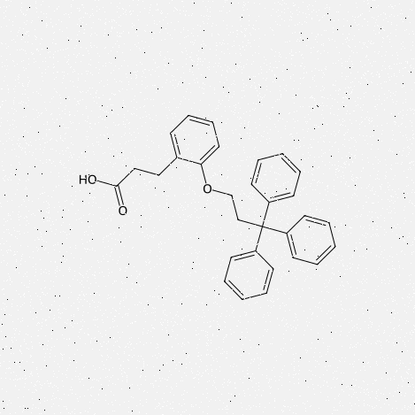 O=C(O)CCc1ccccc1OCCC(c1ccccc1)(c1ccccc1)c1ccccc1